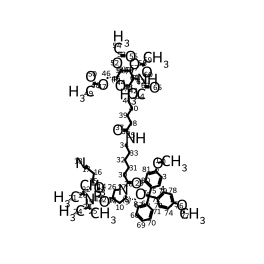 COc1ccc(C(OC[C@@H]2C[C@@H](OP(OCCC#N)N(C(C)C)C(C)C)CN2C(=O)CCCCCNC(=O)CCCCO[C@@H]2O[C@H](COC(C)=O)[C@H](OC(C)=O)[C@H](OC(C)=O)[C@H]2NC(C)=O)(c2ccccc2)c2ccc(OC)cc2)cc1